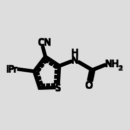 CC(C)c1csc(NC(N)=O)c1C#N